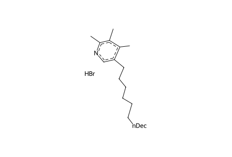 Br.CCCCCCCCCCCCCCCCc1cnc(C)c(C)c1C